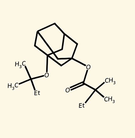 CCC(C)(C)OC12CC3CC(CC(OC(=O)C(C)(C)CC)(C3)C1)C2